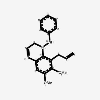 C=CCc1c(OC)c(OC)cc2c1N(Nc1ccccc1)CC=N2